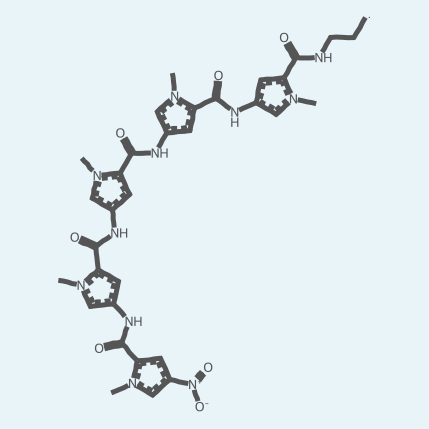 [CH2]CCNC(=O)c1cc(NC(=O)c2cc(NC(=O)c3cc(NC(=O)c4cc(NC(=O)c5cc([N+](=O)[O-])cn5C)cn4C)cn3C)cn2C)cn1C